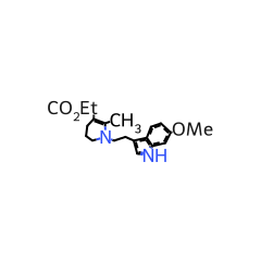 CCOC(=O)C1=C(C)N(CCc2c[nH]c3cc(OC)ccc23)CCC1